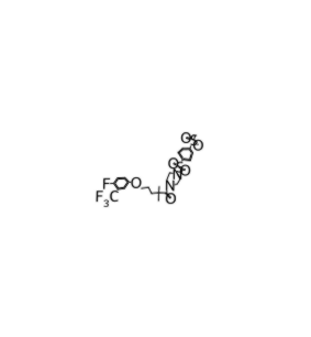 CC(C)(CCCOc1ccc(F)c(C(F)(F)F)c1)C(=O)N1CCN(S(=O)(=O)c2ccc(S(C)(=O)=O)cc2)CC1